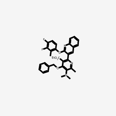 CCOC(=O)c1c(-c2cc3ccccc3nc2Oc2ccc(F)c(F)c2C)nc(C)c(N(C)C)c1OCc1ccccc1